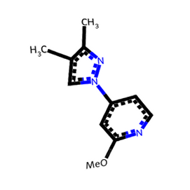 COc1cc(-n2cc(C)c(C)n2)ccn1